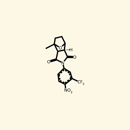 CC12CCC(O1)[C@H]1C(=O)N(c3ccc([N+](=O)[O-])c(C(F)(F)F)c3)C(=O)C12